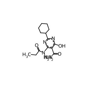 CCC(=O)N(N)c1nc(C2CCCCC2)nc(O)c1C(N)=O